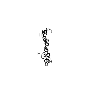 Cn1c(=O)n(C2CCC(=O)NC2=O)c2cccc(C3CCN(Cc4cccc(S(=O)(=O)N5CCC(Nc6ncc(C(F)(F)F)cn6)CC5)c4)CC3)c21